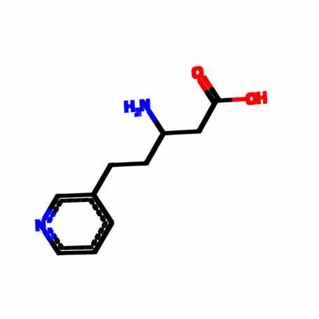 NC(CCc1cccnc1)CC(=O)O